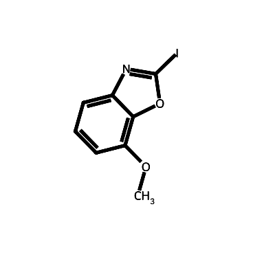 COc1cccc2nc(I)oc12